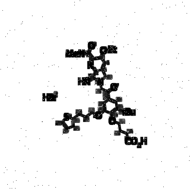 Br.CCOc1cc2c(nc1C(=O)NC)C(=N)N(CC(=O)c1cc(OCCCc3cccs3)c(OCCCC(=O)O)c(C(C)(C)C)c1)C2